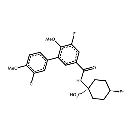 CC[C@H]1CC[C@](NC(=O)c2cc(F)c(OC)c(-c3ccc(OC)c(Cl)c3)c2)(C(=O)O)CC1